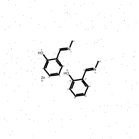 CN=Cc1ccccc1O.CN=Cc1ccccc1O.[Zn]